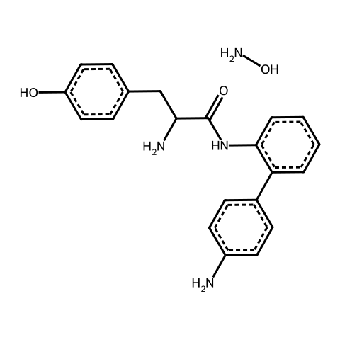 NO.Nc1ccc(-c2ccccc2NC(=O)C(N)Cc2ccc(O)cc2)cc1